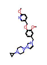 COc1ccc(COc2ccc(CN3C=CN(N4CCN(C5CC5)CC4)C3)cc2OC)cn1